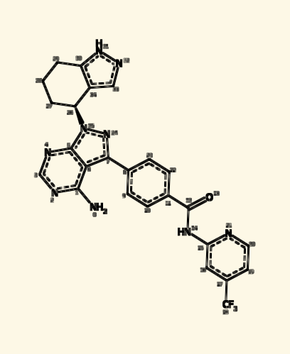 Nc1ncnc2c1c(-c1ccc(C(=O)Nc3cc(C(F)(F)F)ccn3)cc1)nn2[C@H]1CCCc2[nH]ncc21